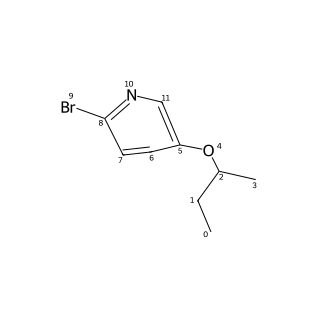 CCC(C)Oc1ccc(Br)nc1